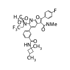 CNC(=O)c1c(-c2ccc(F)cc2)oc2nc(N(CC(F)(F)F)S(C)(=O)=O)c(-c3cccc(C(=O)NC4(C)CC(C)C4)c3)cc12